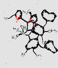 Cc1ccc(C2=Cc3c(cc(C)c(C)c3-c3ccccc3)[CH]2[Zr]([CH3])([CH3])(=[SiH2])[CH]2C(c3ccc(C)o3)=Cc3c2cc(C)c(C)c3-c2ccccc2)o1